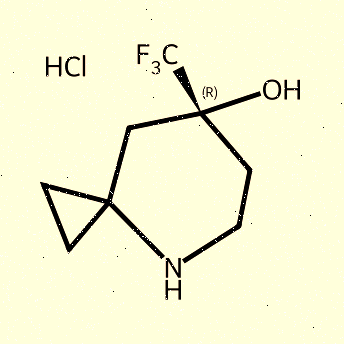 Cl.O[C@]1(C(F)(F)F)CCNC2(CC2)C1